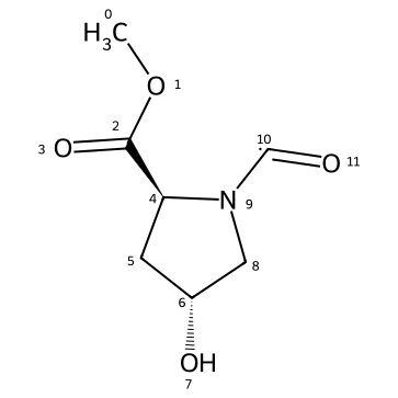 COC(=O)[C@@H]1C[C@@H](O)CN1[C]=O